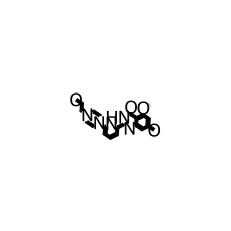 COCCN1CCN(c2cccc(-c3nc4cc(OC)cc(OC)c4c(=O)[nH]3)n2)CC1